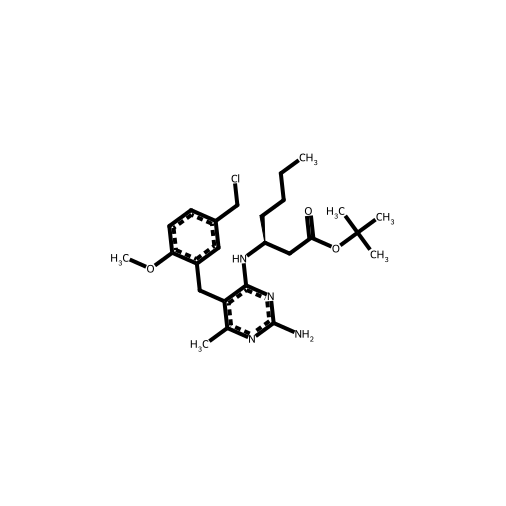 CCCC[C@@H](CC(=O)OC(C)(C)C)Nc1nc(N)nc(C)c1Cc1cc(CCl)ccc1OC